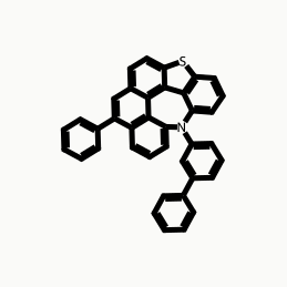 c1ccc(-c2cccc(-n3c4cccc5sc6ccc7cc(-c8ccccc8)c8cccc3c8c7c6c54)c2)cc1